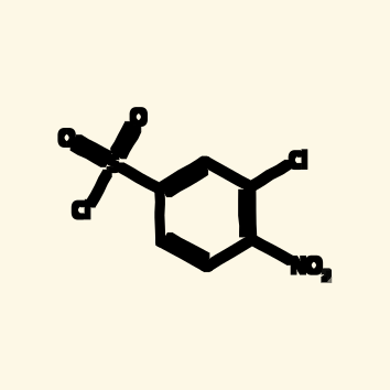 O=[N+]([O-])c1ccc(S(=O)(=O)Cl)cc1Cl